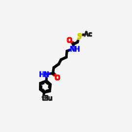 CC(=O)SCC(=O)NCCCCCC(=O)Nc1ccc(C(C)(C)C)cc1